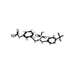 CC(C)(C)c1ccc(CN(Cc2cccc(CC(=O)O)c2)S(C)(=O)=O)cc1